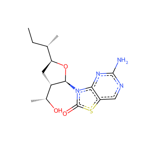 CC[C@H](C)[C@@H]1C[C@@H]([C@@H](C)O)[C@H](n2c(=O)sc3cnc(N)nc32)O1